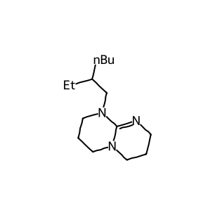 CCCCC(CC)CN1CCCN2CCCN=C21